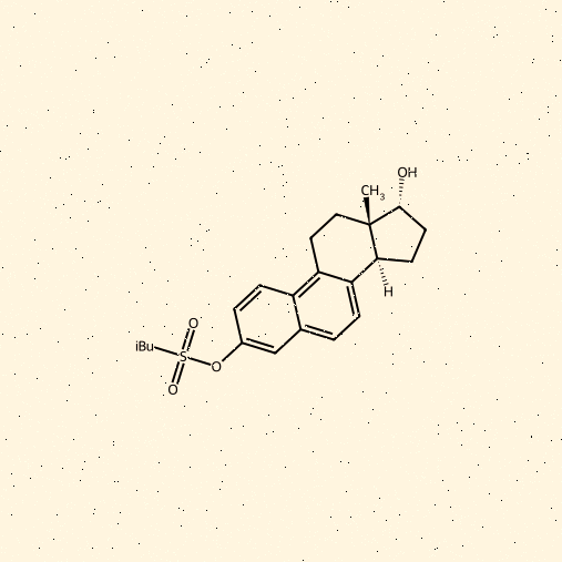 CCC(C)S(=O)(=O)Oc1ccc2c3c(ccc2c1)[C@@H]1CC[C@@H](O)[C@@]1(C)CC3